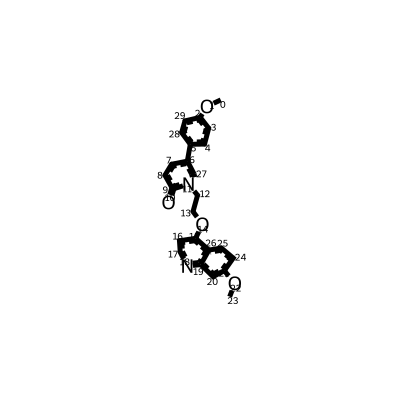 COc1ccc(-c2ccc(=O)n(CCOc3ccnc4cc(OC)ccc34)c2)cc1